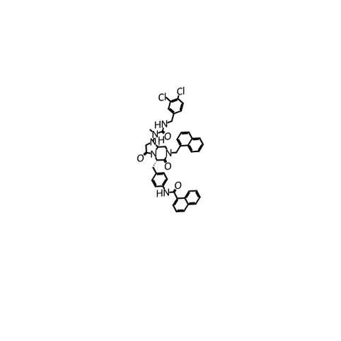 CN(C(=O)NCc1ccc(Cl)c(Cl)c1)N1CC(=O)N2[C@@H](Cc3ccc(NC(=O)c4cccc5ccccc45)cc3)C(=O)N(Cc3cccc4ccccc34)C[C@@H]21